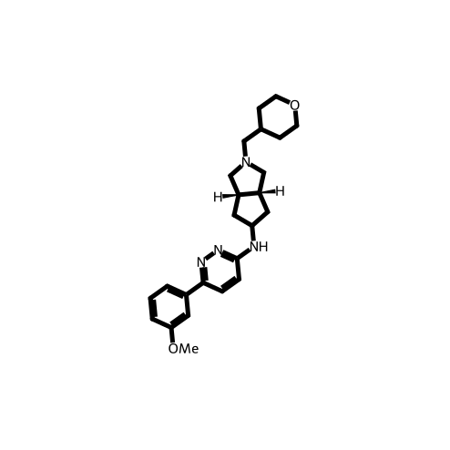 COc1cccc(-c2ccc(NC3C[C@@H]4CN(CC5CCOCC5)C[C@@H]4C3)nn2)c1